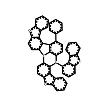 c1ccc(-c2ccc3c4c2-c2c(ccc5oc6ccccc6c25)B4c2ccc4oc5ccccc5c4c2N3c2cccc3oc4ccccc4c23)cc1